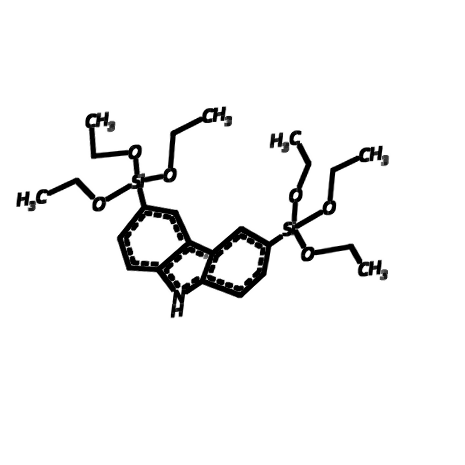 CCO[Si](OCC)(OCC)c1ccc2[nH]c3ccc([Si](OCC)(OCC)OCC)cc3c2c1